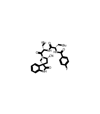 CC(C)(C)C[C@H](NC(=O)c1ccc(F)cc1)C(=O)N[C@@H](CC(C)(C)C)C(=O)N1C[C@]2(C[C@H]1C#N)C(=O)Nc1ccccc12